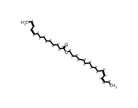 C/C=C\C=C/CCCCCCCCC(=O)OCCCCCCCCCC/C=C\C=C/CC